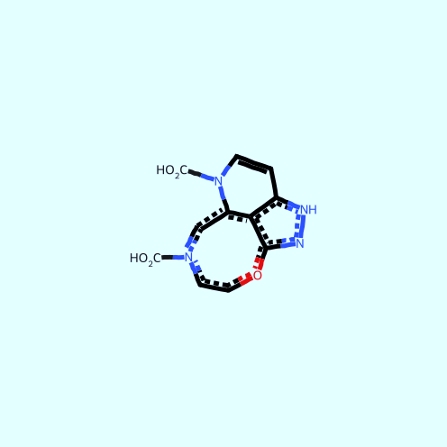 O=C(O)N1C=Cc2[nH]nc3occn(C(=O)O)cc1c23